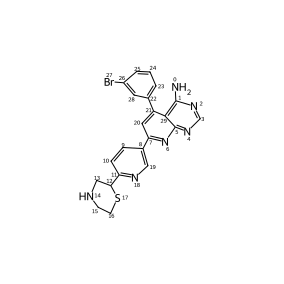 Nc1ncnc2nc(-c3ccc(C4CNCCS4)nc3)cc(-c3cccc(Br)c3)c12